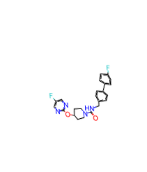 O=C(NCc1ccc(-c2ccc(F)cc2)cc1)N1CCC(Oc2ncc(F)cn2)CC1